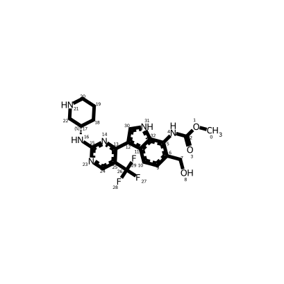 COC(=O)Nc1c(CO)ccc2c(-c3nc(N[C@H]4CCCNC4)ncc3C(F)(F)F)c[nH]c12